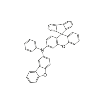 c1ccc(N(c2ccc3c(c2)Oc2ccccc2C32c3ccccc3-c3ccccc32)c2ccc3oc4ccccc4c3c2)cc1